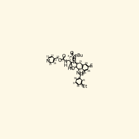 CCCCS(=O)(=O)C[C@@H](NC(=O)OCc1ccncc1)C(=O)N[C@@H](Cc1cc(F)cc(F)c1)[C@H](O)CNCc1cccc(CC)c1